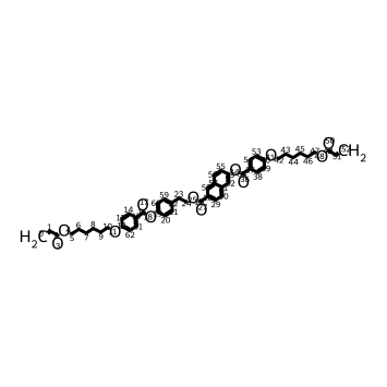 C=CC(=O)OCCCCCCOc1ccc(C(=O)Oc2ccc(CCOC(=O)c3ccc4cc(OC(=O)c5ccc(OCCCCCCOC(=O)C=C)cc5)ccc4c3)cc2)cc1